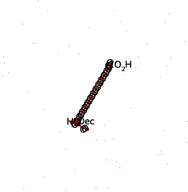 CCCCCCCCCCCC(CC=CCCCCCCCC(=O)OCc1ccccc1)(C(=O)NCCOCCOCCOCCOCCOCCOCCOCCOCCOCCOCCOCCOCCOCCOCCOCCOCCOCCOCCOCCOCCOCCOCCOCCOC[C@@H](C(=O)O)N1C(=O)CCC1=O)C(=O)OCc1ccccc1